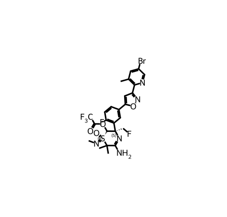 CN=[S@]1(=O)C(OC(=O)C(F)(F)F)[C@@](CF)(c2cc(-c3cc(-c4ncc(Br)cc4C)no3)ccc2F)N=C(N)C1(C)C